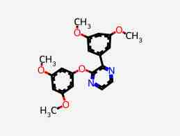 COc1cc(OC)cc(Oc2nccnc2-c2cc(OC)cc(OC)c2)c1